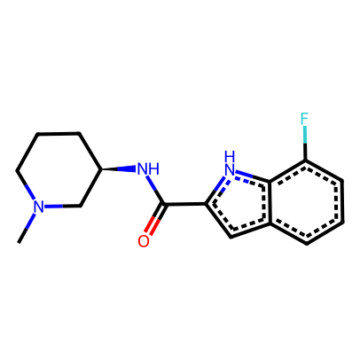 CN1CCC[C@@H](NC(=O)c2cc3cccc(F)c3[nH]2)C1